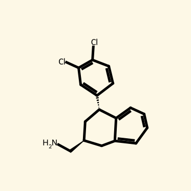 NC[C@@H]1Cc2ccccc2[C@@H](c2ccc(Cl)c(Cl)c2)C1